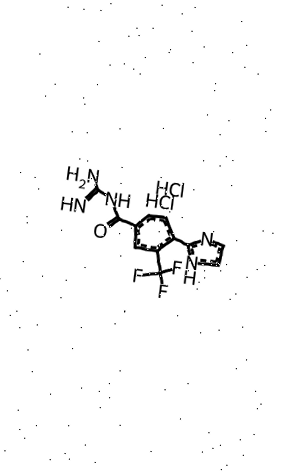 Cl.Cl.N=C(N)NC(=O)c1ccc(-c2ncc[nH]2)c(C(F)(F)F)c1